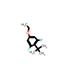 CCOc1cc(F)c(C(C)(C)C)c(F)c1